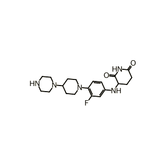 O=C1CCC(Nc2ccc(N3CCC(N4CCNCC4)CC3)c(F)c2)C(=O)N1